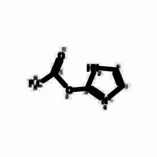 O=C(OC1=[N+]C=CN1)C(F)(F)F